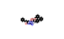 CC(C)CN(CC(CCc1ccccc1)C(N)=O)C(=O)N[C@@H](Cc1ccc(-c2ccccc2)cc1)C(=O)OCc1ccccc1